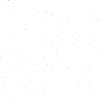 COc1ccc(NC(c2ccccc2)C(C)(C)C)cc1